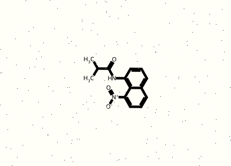 CC(C)C(=O)Nc1cccc2cccc([N+](=O)[O-])c12